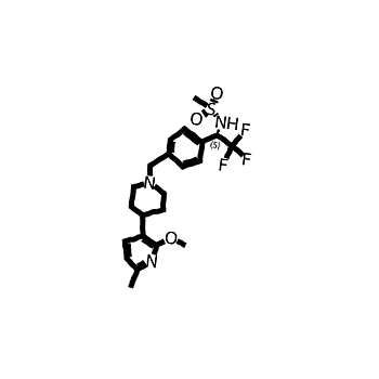 COc1nc(C)ccc1C1CCN(Cc2ccc([C@H](NS(C)(=O)=O)C(F)(F)F)cc2)CC1